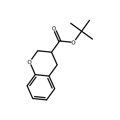 CC(C)(C)OC(=O)C1COc2ccccc2C1